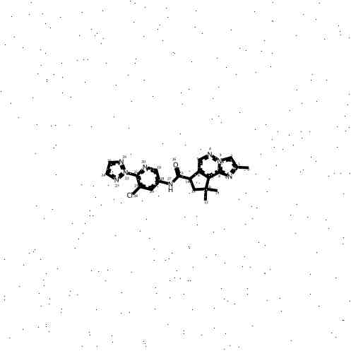 Cc1cn2ncc3c(c2n1)C(C)(C)CC3C(=O)Nc1cnc(-n2nccn2)c(Cl)c1